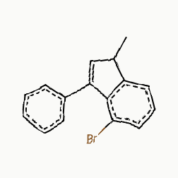 CC1C=C(c2ccccc2)c2c(Br)cccc21